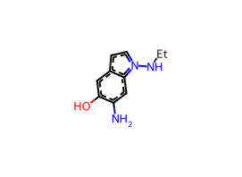 CCNn1ccc2cc(O)c(N)cc21